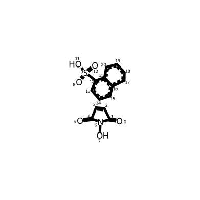 O=C1C=CC(=O)N1O.O=S(=O)(O)c1cccc2ccccc12